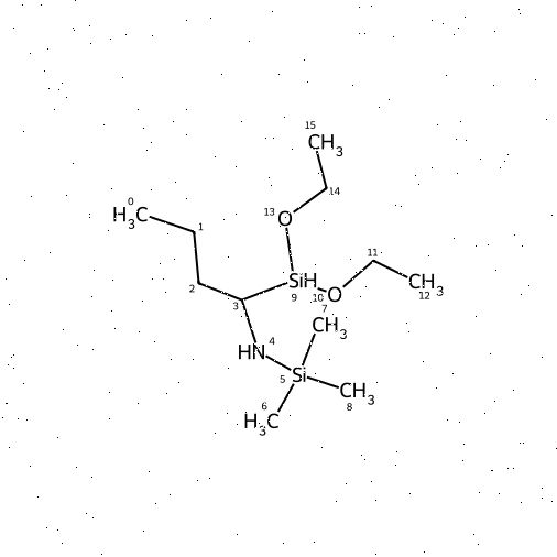 CCCC(N[Si](C)(C)C)[SiH](OCC)OCC